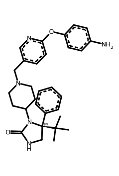 CC(C)(C)[C@@]1(c2ccccc2)CNC(=O)N1C1CCN(Cc2ccc(Oc3ccc(N)cc3)nc2)CC1